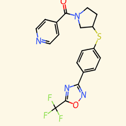 O=C(c1ccncc1)N1CCC(Sc2ccc(-c3noc(C(F)(F)F)n3)cc2)C1